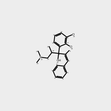 CC(=Cc1ccccc1)C(O)(c1cccc(Cl)c1Cl)C(C)CN(C)C